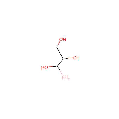 BC(O)C(O)CO